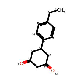 CCc1ccc(C2CC(=O)CC(=O)C2)cc1